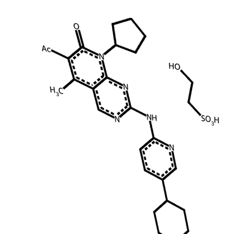 CC(=O)c1c(C)c2cnc(Nc3ccc(C4CCNCC4)cn3)nc2n(C2CCCC2)c1=O.O=S(=O)(O)CCO